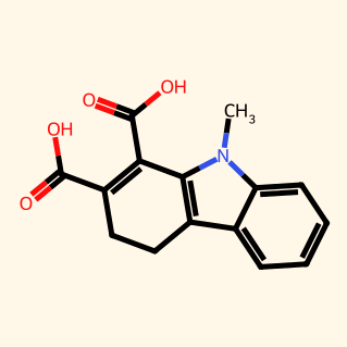 Cn1c2c(c3ccccc31)CCC(C(=O)O)=C2C(=O)O